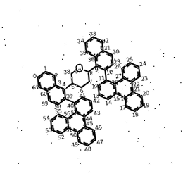 c1ccc2c(C3CCC(c4c(-c5cccc6c7ccccc7c7ccccc7c56)ccc5ccccc45)OC3)c(-c3cccc4c5ccccc5c5ccccc5c34)ccc2c1